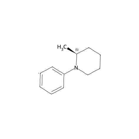 C[C@H]1CCCCN1c1c[c]ccc1